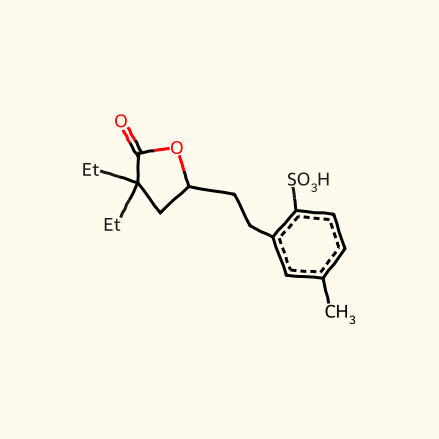 CCC1(CC)CC(CCc2cc(C)ccc2S(=O)(=O)O)OC1=O